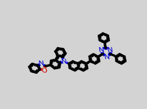 c1ccc(-c2nc(-c3ccccc3)nc(-c3ccc(-c4ccc5ccc(-n6c7ccccc7c7cc(-c8nc9ccccc9o8)ccc76)cc5c4)cc3)n2)cc1